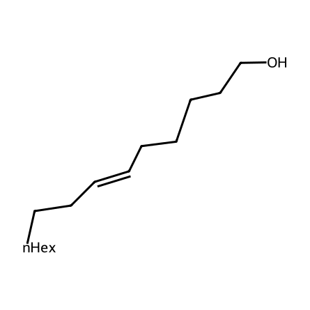 CCCCCCCCC=CCCCCCO